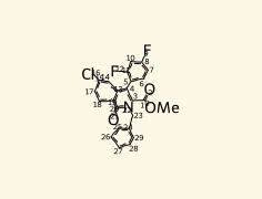 COC(=O)c1c(-c2ccc(F)cc2F)c2cc(Cl)ccc2c(=O)n1Cc1ccccc1